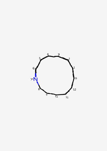 C1CCCCCC[N]CCCCC1